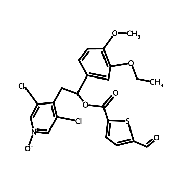 CCOc1cc(C(Cc2c(Cl)c[n+]([O-])cc2Cl)OC(=O)c2ccc(C=O)s2)ccc1OC